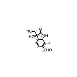 Cc1c(C=O)ccc2c1NC(=O)C2(O)CC#N